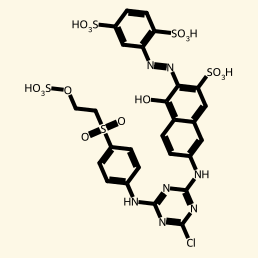 O=S(=O)(O)OCCS(=O)(=O)c1ccc(Nc2nc(Cl)nc(Nc3ccc4c(O)c(/N=N/c5cc(S(=O)(=O)O)ccc5S(=O)(=O)O)c(S(=O)(=O)O)cc4c3)n2)cc1